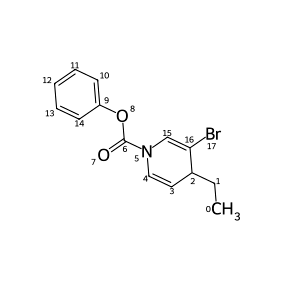 CCC1C=CN(C(=O)Oc2ccccc2)C=C1Br